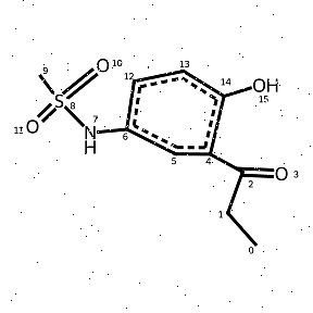 CCC(=O)c1cc(NS(C)(=O)=O)ccc1O